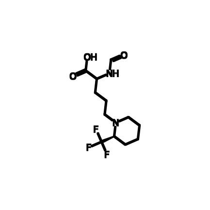 O=CNC(CCCN1CCCC[C@H]1C(F)(F)F)C(=O)O